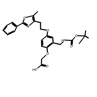 Cc1oc(-c2ccccc2)nc1CCOc1ccc(OCC(=O)O)c(CNC(=O)OC(C)(C)C)c1